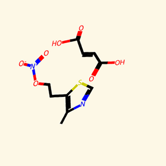 Cc1ncsc1CCO[N+](=O)[O-].O=C(O)C=CC(=O)O